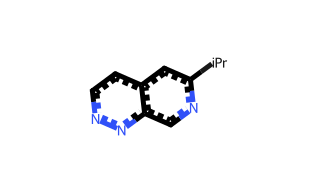 CC(C)c1cc2ccnnc2cn1